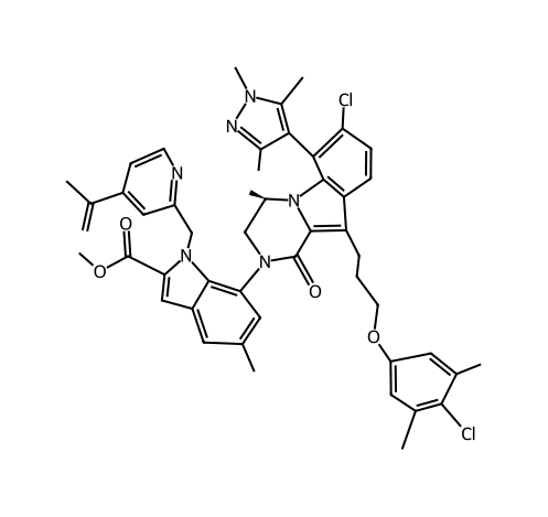 C=C(C)c1ccnc(Cn2c(C(=O)OC)cc3cc(C)cc(N4C[C@@H](C)n5c(c(CCCOc6cc(C)c(Cl)c(C)c6)c6ccc(Cl)c(-c7c(C)nn(C)c7C)c65)C4=O)c32)c1